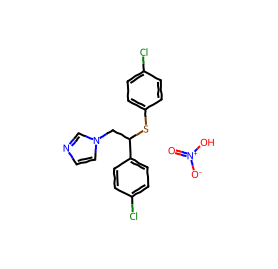 Clc1ccc(SC(Cn2ccnc2)c2ccc(Cl)cc2)cc1.O=[N+]([O-])O